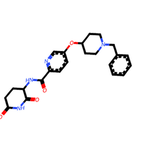 O=C1CCC(NC(=O)c2ccc(OC3CCN(Cc4ccccc4)CC3)cn2)C(=O)N1